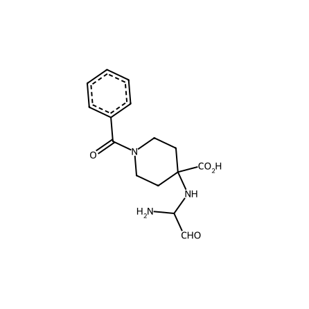 NC(C=O)NC1(C(=O)O)CCN(C(=O)c2ccccc2)CC1